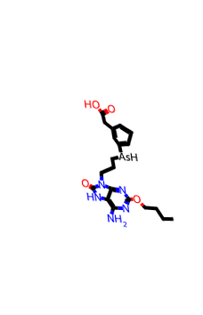 CCCCOc1nc(N)c2[nH]c(=O)n(CCC[AsH]c3cccc(CC(=O)O)c3)c2n1